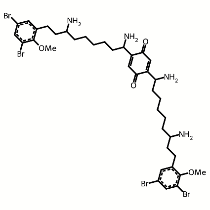 COc1c(Br)cc(Br)cc1CCC(N)CCCCCC(N)C1=CC(=O)C(C(N)CCCCCC(N)CCc2cc(Br)cc(Br)c2OC)=CC1=O